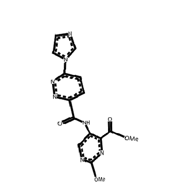 COC(=O)c1nc(OC)ncc1NC(=O)c1ccc(-n2ccnc2)nn1